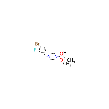 CC(C)(C)OC(=O)N1CCN(Cc2ccc(Br)c(F)c2)CC1